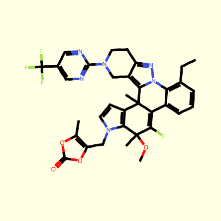 CCc1cccc2c1-n1nc3c(c1C1(C)C2=C(F)C(C)(OC)c2c1ccn2Cc1oc(=O)oc1C)CN(c1ncc(C(F)(F)F)cn1)CC3